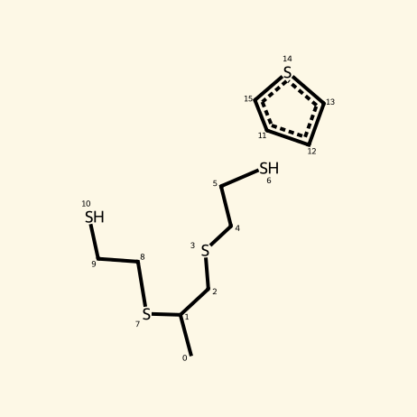 CC(CSCCS)SCCS.c1ccsc1